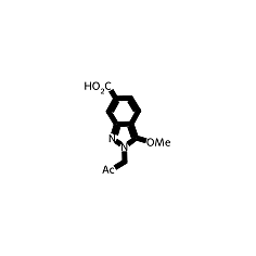 COc1c2ccc(C(=O)O)cc2nn1CC(C)=O